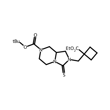 CCOC(=O)C1(CN2CC3CN(C(=O)OC(C)(C)C)CCN3C2=S)CCC1